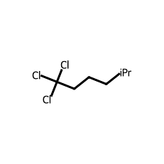 CC(C)CCCC(Cl)(Cl)Cl